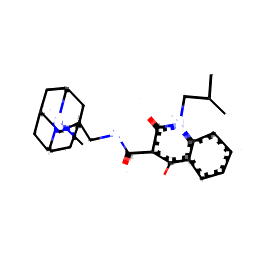 CC(C)Cn1c(=O)c(C(=O)NCC23CC4CC(C2)N(C)C(C4)C3)c(O)c2ccccc21